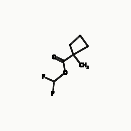 CC1(C(=O)OC(F)F)CCC1